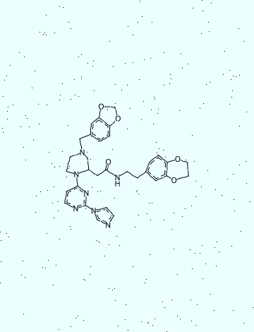 O=C(CC1CN(Cc2ccc3c(c2)OCO3)CCN1c1ccnc(-n2ccnc2)n1)NCCc1ccc2c(c1)OCCO2